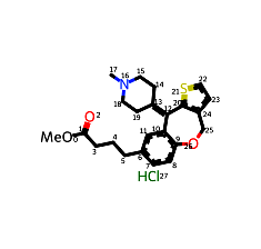 COC(=O)CCCc1ccc2c(c1)C(=C1CCN(C)CC1)c1sccc1CO2.Cl